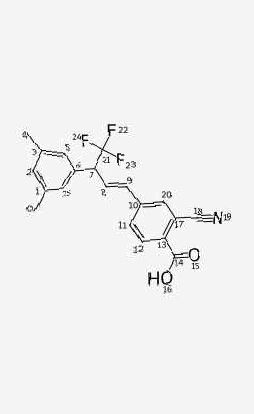 Cc1cc(C)cc(C(/C=C/c2ccc(C(=O)O)c(C#N)c2)C(F)(F)F)c1